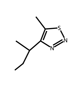 CCC(C)c1nnsc1C